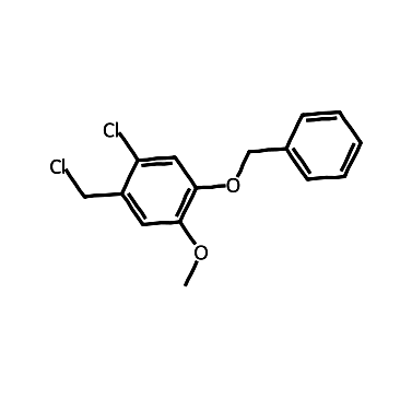 COc1cc(CCl)c(Cl)cc1OCc1ccccc1